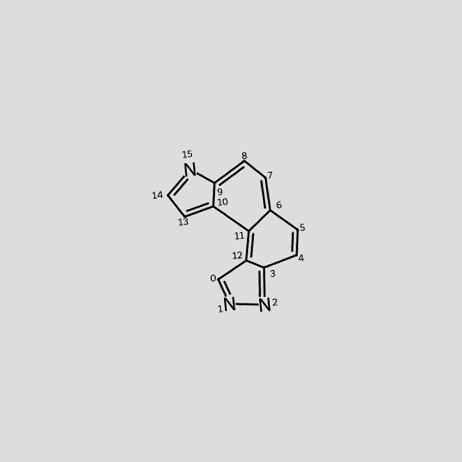 C1=NN=c2ccc3ccc4c(c3c21)=CC=N4